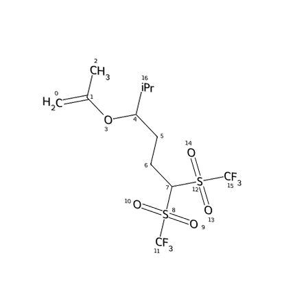 C=C(C)OC(CCC(S(=O)(=O)C(F)(F)F)S(=O)(=O)C(F)(F)F)C(C)C